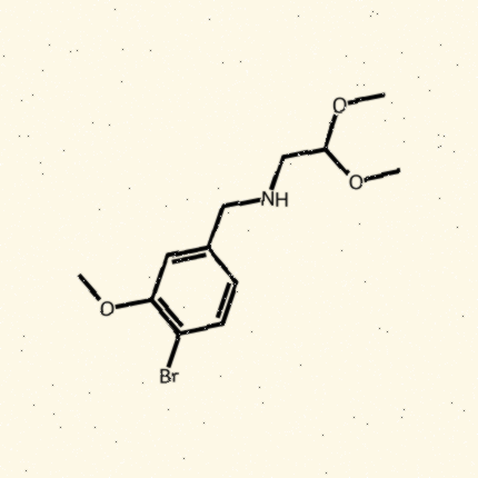 COc1cc(CNCC(OC)OC)ccc1Br